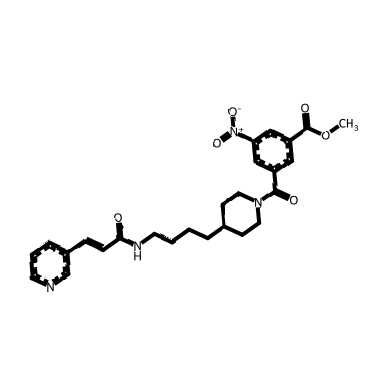 COC(=O)c1cc(C(=O)N2CCC(CCCCNC(=O)C=Cc3cccnc3)CC2)cc([N+](=O)[O-])c1